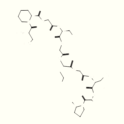 CC[C@H](C)[C@H](NC(=O)[C@@H](NC(=O)CNC(=O)[C@H](CCO)NC(=O)CNC(=O)[C@H](CC(=O)O)NC(=O)CNC(=O)[C@@H]1CCCCN1C(=O)[C@@H](N)CN)[C@@H](C)O)C(=O)N1CCC[C@H]1C(=O)O